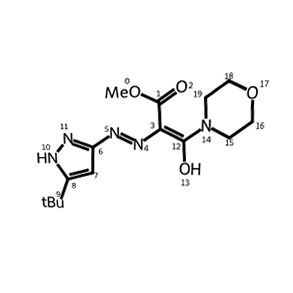 COC(=O)/C(N=Nc1cc(C(C)(C)C)[nH]n1)=C(/O)N1CCOCC1